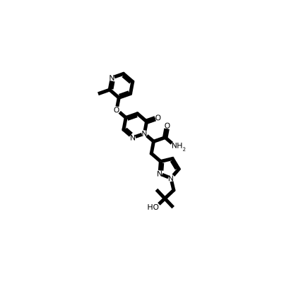 Cc1ncccc1Oc1cnn(C(Cc2ccn(CC(C)(C)O)n2)C(N)=O)c(=O)c1